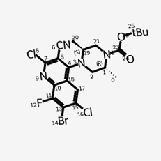 C[C@@H]1CN(c2c(C#N)c(Cl)nc3c(F)c(Br)c(Cl)cc23)[C@@H](C)CN1C(=O)OC(C)(C)C